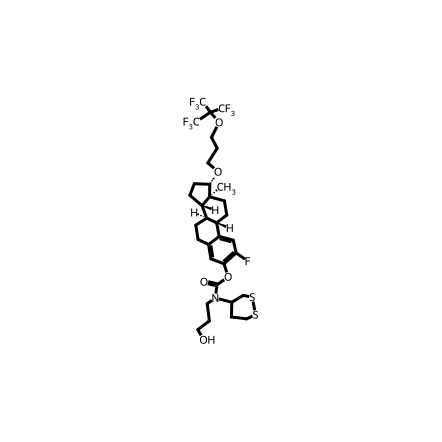 C[C@]12CC[C@@H]3c4cc(F)c(OC(=O)N(CCCO)C5CCSSC5)cc4CC[C@H]3[C@@H]1CC[C@@H]2OCCCOC(C(F)(F)F)(C(F)(F)F)C(F)(F)F